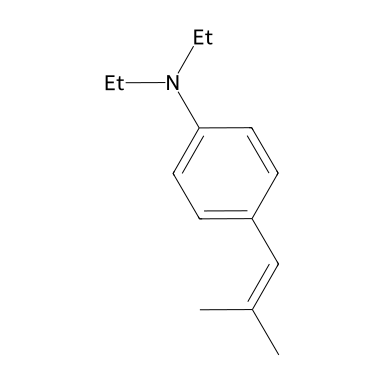 CCN(CC)c1ccc(C=C(C)C)cc1